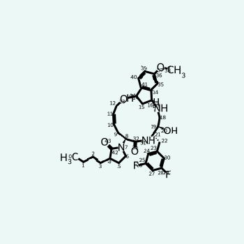 CCCCC1CCN([C@H]2CC=CCO[C@@H]3C[C@H](NC[C@@H](O)[C@H](Cc4cc(F)cc(F)c4)NC2=O)c2cc(OC)ccc23)C1=O